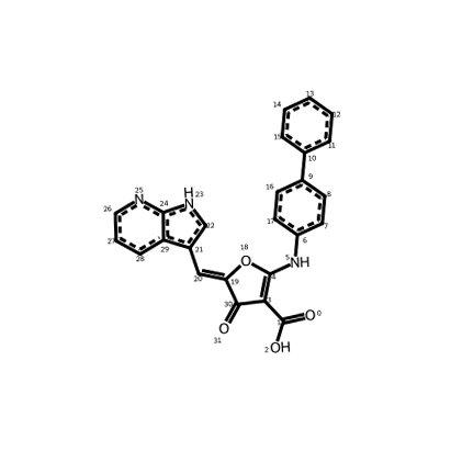 O=C(O)C1=C(Nc2ccc(-c3ccccc3)cc2)O/C(=C\c2c[nH]c3ncccc23)C1=O